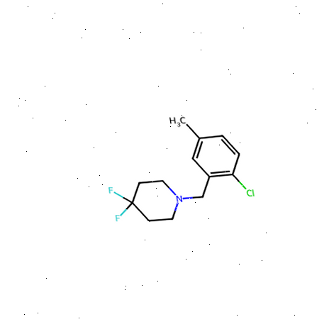 Cc1ccc(Cl)c(CN2CCC(F)(F)CC2)c1